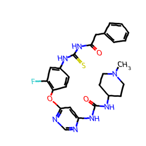 CN1CCC(NC(=O)Nc2cc(Oc3ccc(NC(=S)NC(=O)Cc4ccccc4)cc3F)ncn2)CC1